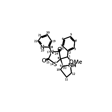 COC(c1ccccc1)C1([C@@H]2CCCN2)SC(=O)N(c2ccccn2)C1=O